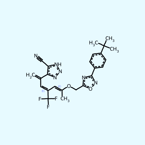 C=C(/C=C(\C=C(/C)OCc1nc(-c2ccc(C(C)(C)C)cc2)no1)C(F)(F)F)c1nn[nH]c1C#N